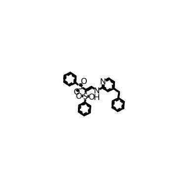 O=S(=O)(C(=CNc1cc(Cc2ccccc2)ccn1)S(=O)(=O)c1ccccc1)c1ccccc1